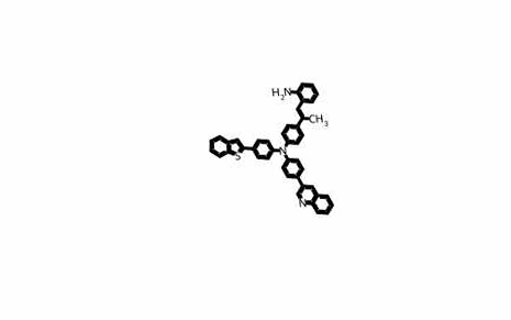 C/C(=C\c1ccccc1N)c1ccc(N(c2ccc(-c3cnc4ccccc4c3)cc2)c2ccc(-c3cc4ccccc4s3)cc2)cc1